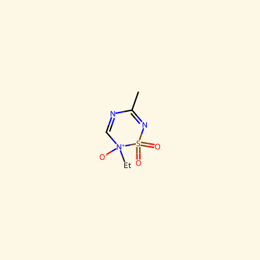 CC[N+]1([O-])C=NC(C)=NS1(=O)=O